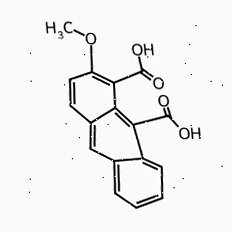 COc1ccc2cc3ccccc3c(C(=O)O)c2c1C(=O)O